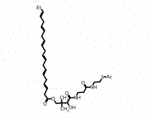 CCC=CCC=CCC=CCC=CCC=CCC=CCC(=O)OCC(C)(C)C(O)C(=O)NCCC(=O)NCCSC(C)=O